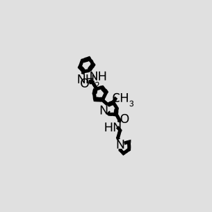 Cc1cc(C(=O)NCCN2CCCC2)cnc1-c1ccc(C(=O)Nc2ccccc2N)cc1